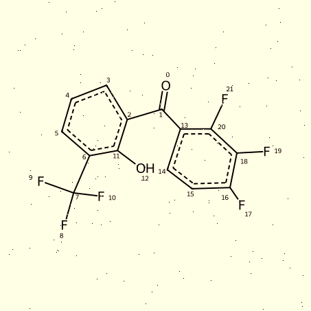 O=C(c1cccc(C(F)(F)F)c1O)c1ccc(F)c(F)c1F